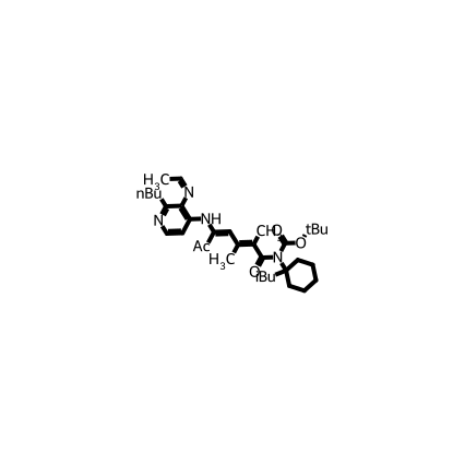 C/C=N\c1c(N/C(=C/C(C)=C(\C)C(=O)N(C(=O)OC(C)(C)C)C2(C(C)CC)CCCCC2)C(C)=O)ccnc1CCCC